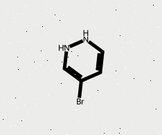 BrC1=CNNC=C1